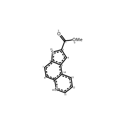 COC(=O)c1cc2c(ccc3ncccc32)s1